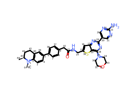 CC(=O)N1c2ccc(-c3ccc(CC(=O)NCc4cc5nc(-c6cnc(N)nc6)nc(N6CCOCC6)c5s4)cc3)cc2CC[C@@H]1C